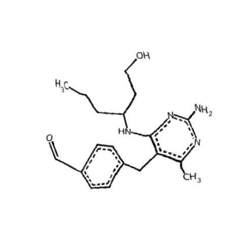 CCCC(CCO)Nc1nc(N)nc(C)c1Cc1ccc(C=O)cc1